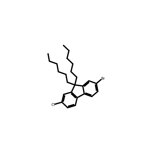 CCCCCCC1(CCCCCC)c2cc(Cl)ccc2-c2ccc(Br)cc21